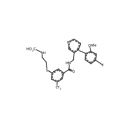 COc1cc(F)ccc1-c1ccncc1CNC(=O)c1cc(SCCNC(=O)O)cc(C(F)(F)F)c1